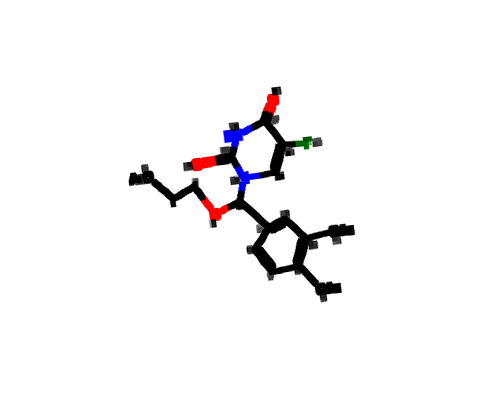 CC(=O)OCCOC(c1ccc(OC(C)=O)c(OC(C)=O)c1)n1cc(F)c(=O)[nH]c1=O